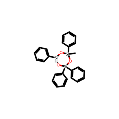 C[Si]1(c2ccccc2)O[SiH](c2ccccc2)O[Si](c2ccccc2)(c2ccccc2)O1